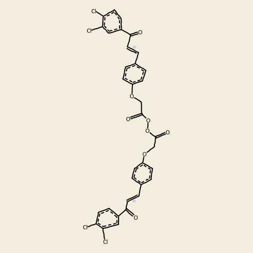 O=C(COc1ccc(/C=C/C(=O)c2ccc(Cl)c(Cl)c2)cc1)OOC(=O)COc1ccc(/C=C/C(=O)c2ccc(Cl)c(Cl)c2)cc1